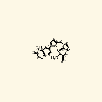 CN1C(=O)COc2ccc(-c3ccc(Cn4cnn(C/C(=C/F)CN)c4=O)s3)cc21